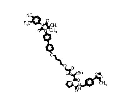 Cc1ncsc1-c1ccc(CNC(=O)[C@@H]2CCCN2C(=O)C(NC(=O)COCCCCOc2ccc(-c3ccc(N4C(=S)N(c5ccc(C#N)c(C(F)(F)F)c5)C(=O)C4(C)C)cc3)cc2)C(C)(C)C)cc1